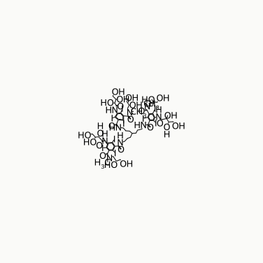 CN(CC(O)CO)C(=O)c1c(I)c(NC(=O)C(O)C(O)CO)c(I)c(C(=O)NCCCC(CCCNC(=O)c2c(I)c(NC(=O)C(O)C(O)CO)c(I)c(C(=O)N(C)CC(O)CO)c2I)CCCNC(=O)c2c(I)c(NC(=O)C(O)C(O)CO)c(I)c(C(=O)N(C)CC(O)CO)c2I)c1I